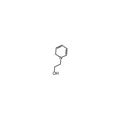 OCCN1[CH]C=CC=C1